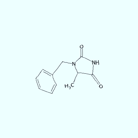 CC1C(=O)NC(=O)N1Cc1ccccc1